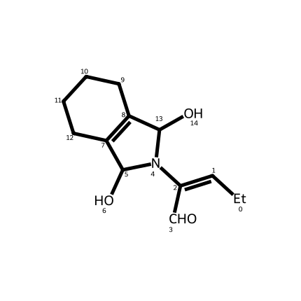 CCC=C(C=O)N1C(O)C2=C(CCCC2)C1O